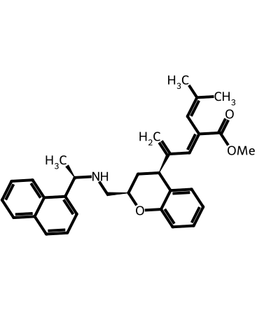 C=C(/C=C(\C=C(C)C)C(=O)OC)[C@@H]1C[C@H](CN[C@H](C)c2cccc3ccccc23)Oc2ccccc21